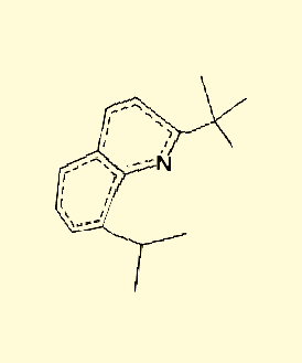 CC(C)c1cccc2ccc(C(C)(C)C)nc12